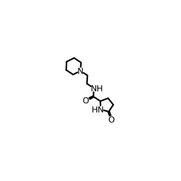 O=C1CCC(C(=O)NCCN2CCCCC2)N1